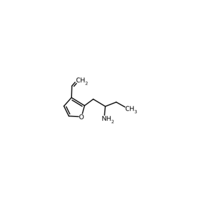 C=Cc1ccoc1CC(N)CC